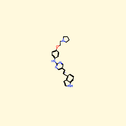 C(=C\c1cccc2[nH]ccc12)/c1cnc(Nc2ccc(OCCN3CCCC3)cc2)nc1